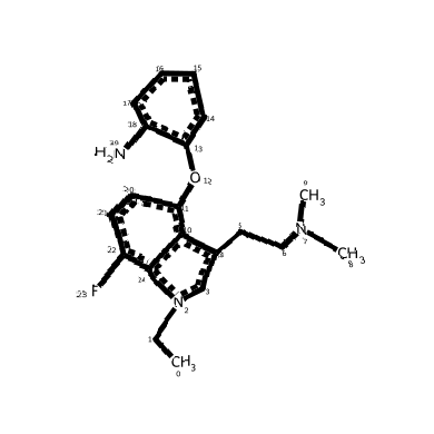 CCn1cc(CCN(C)C)c2c(Oc3ccccc3N)ccc(F)c21